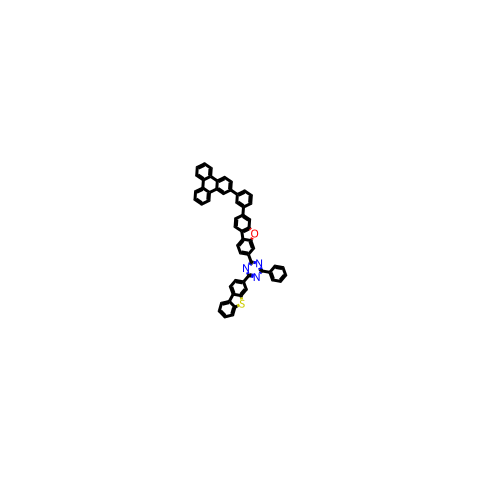 c1ccc(-c2nc(-c3ccc4c(c3)oc3cc(-c5cccc(-c6ccc7c8ccccc8c8ccccc8c7c6)c5)ccc34)nc(-c3ccc4c(c3)sc3ccccc34)n2)cc1